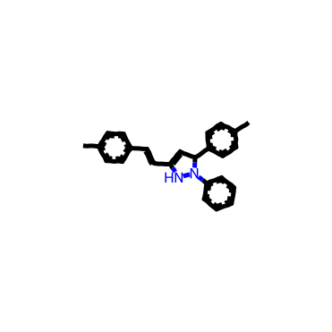 Cc1ccc(C=CC2=CC(c3ccc(C)cc3)N(c3ccccc3)N2)cc1